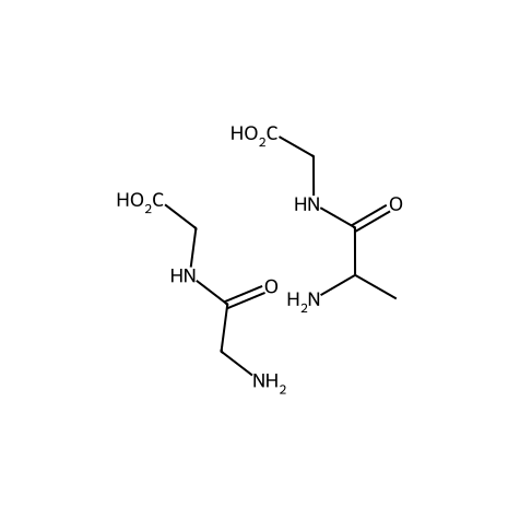 CC(N)C(=O)NCC(=O)O.NCC(=O)NCC(=O)O